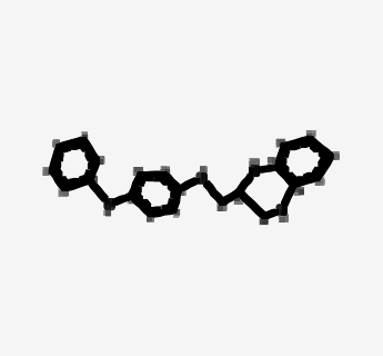 c1ccc(Oc2ccc(OCC3COc4ccccc4O3)cc2)cc1